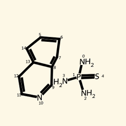 NP(N)(N)=S.c1ccc2cnccc2c1